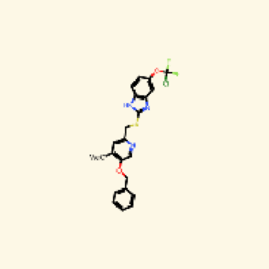 COc1cc(CSc2nc3cc(OC(F)(F)Cl)ccc3[nH]2)ncc1OCc1ccccc1